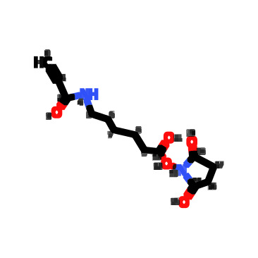 C#CC(=O)NCCCCCC(=O)ON1C(=O)CCC1=O